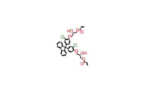 C=CC(=O)OCC(O)COc1ccc(C2(c3ccc(OCC(O)COC(=O)C=C)c(Cl)c3)c3ccccc3-c3ccccc32)cc1Cl